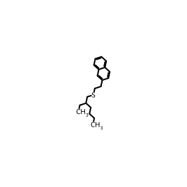 CCCCC(CC)CSCCc1ccc2ccccc2c1